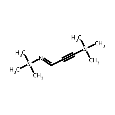 C[Si](C)(C)C#C/C=N/[Si](C)(C)C